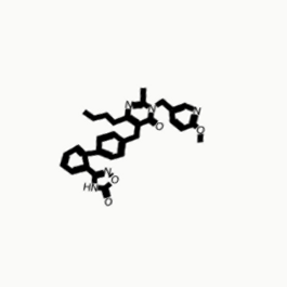 CCCCc1nc(C)n(Cc2ccc(OC)nc2)c(=O)c1Cc1ccc(-c2ccccc2-c2noc(=O)[nH]2)cc1